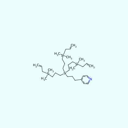 C=CC[Si](C)(C)CCC[Si](CCCc1ccncc1)(CCC[Si](C)(C)CC=C)CCC[Si](C)(C)CC=C